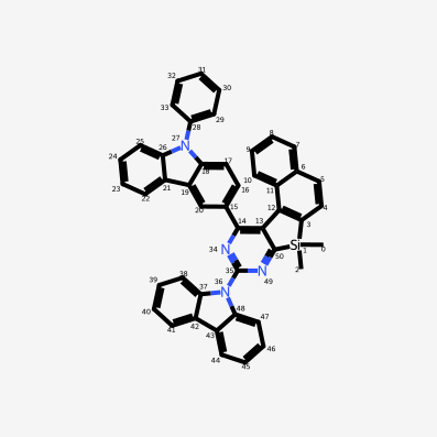 C[Si]1(C)c2ccc3ccccc3c2-c2c(-c3ccc4c(c3)c3ccccc3n4-c3ccccc3)nc(-n3c4ccccc4c4ccccc43)nc21